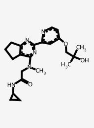 CN(CC(=O)NC1CC1)c1nc(-c2cc(OCC(C)(C)O)ccn2)nc2c1CCC2